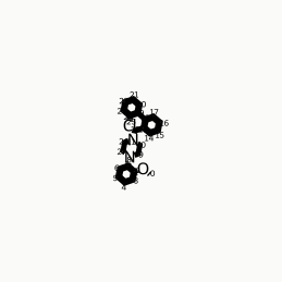 COc1ccccc1N1CCN(Cc2ccccc2-c2ccccc2Cl)CC1